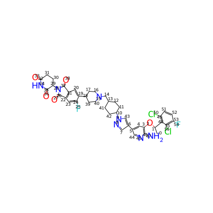 CC(Oc1cc(-c2cnn(C3CCC(CN4CCC(c5cc6c(cc5F)C(=O)N(C5CCC(=O)NC5=O)C6=O)CC4)CC3)c2)cnc1N)c1c(Cl)ccc(F)c1Cl